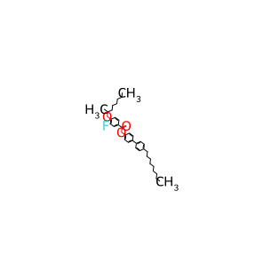 CCCCCCCCCc1ccc(-c2ccc(OC(=O)c3ccc(OC(C)CCCCCC)c(F)c3)cc2)cc1